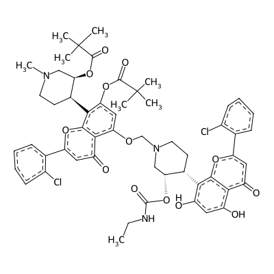 CCNC(=O)O[C@@H]1CN(COc2cc(OC(=O)C(C)(C)C)c([C@H]3CCN(C)C[C@H]3OC(=O)C(C)(C)C)c3oc(-c4ccccc4Cl)cc(=O)c23)CC[C@@H]1c1c(O)cc(O)c2c(=O)cc(-c3ccccc3Cl)oc12